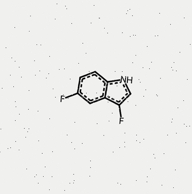 Fc1ccc2[nH]cc(F)c2c1